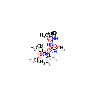 CCCC(NC(=O)[C@@H]1CC(C)(C)CN1C(=O)[C@@H](NC(=O)OCC(C)C)C1CCC(C)(C)CC1)C(=O)C(=O)NCC(=O)N[C@H](C(=O)N(C)C)c1ccccc1